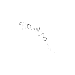 NCCCOc1ccc(NC(=O)C(CC(=O)O)NC(=O)CNC(=O)c2cccc(N=C3NC=CCN3)c2)cc1